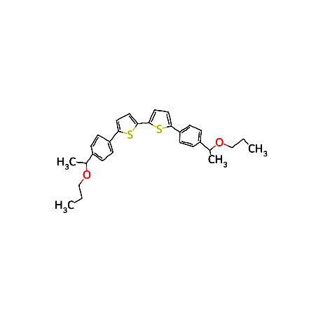 CCCOC(C)c1ccc(-c2ccc(-c3ccc(-c4ccc(C(C)OCCC)cc4)s3)s2)cc1